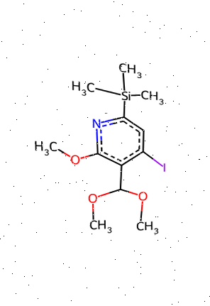 COc1nc([Si](C)(C)C)cc(I)c1C(OC)OC